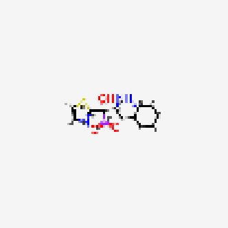 N[C@@H](CC1CCCCC1)[C@](O)(c1nccs1)I(=O)=O